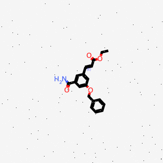 CCOC(=O)/C=C/c1cc(OCc2ccccc2)cc(C(N)=O)c1